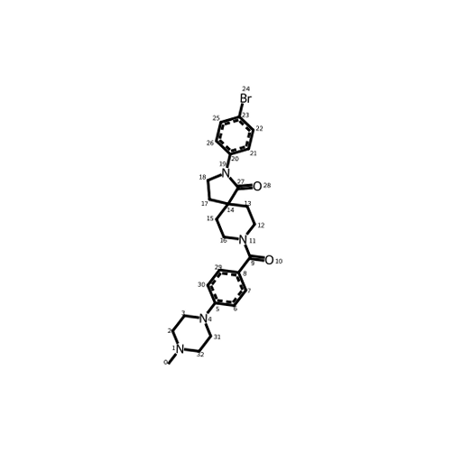 CN1CCN(c2ccc(C(=O)N3CCC4(CC3)CCN(c3ccc(Br)cc3)C4=O)cc2)CC1